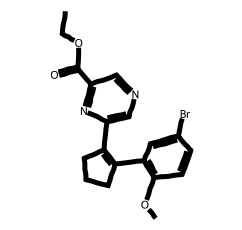 CCOC(=O)c1cncc(C2=C(c3cc(Br)ccc3OC)CCC2)n1